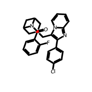 O=C(c1ccccc1F)N1C2CC1CN(Cc1c(-c3ccc(Cl)cc3)nc3ccccn13)C2